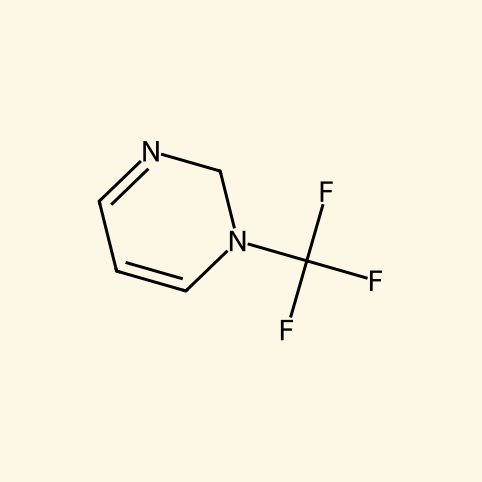 FC(F)(F)N1C=CC=NC1